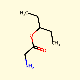 CCC(CC)OC(=O)CN